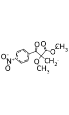 [CH2]C(OC)(C(=O)OC)C(=O)c1ccc([N+](=O)[O-])cc1